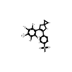 CS(=O)(=O)c1ccc(C2=C(c3c(F)c(F)c(C(F)(F)F)c(F)c3F)CC3(CC3)C2)cc1